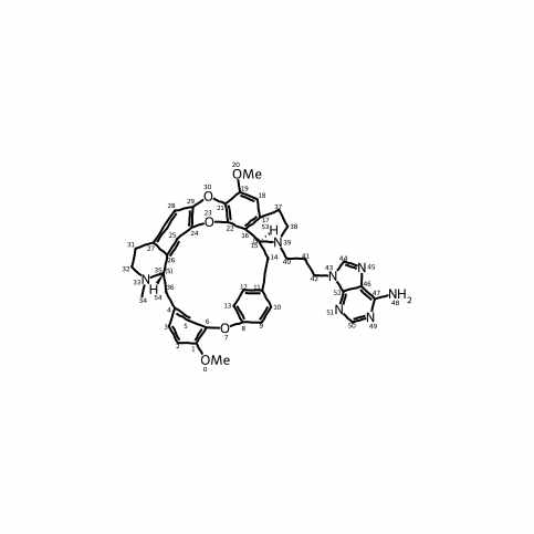 COc1ccc2cc1Oc1ccc(cc1)C[C@H]1c3c(cc(OC)c4c3Oc3cc5c(cc3O4)CCN(C)[C@H]5C2)CCN1CCCn1cnc2c(N)ncnc21